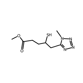 COC(=O)CCC(S)Cc1nnnn1C